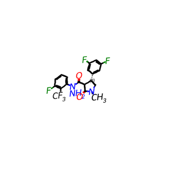 CN1C[C@@H](c2cc(F)cc(F)c2)C(C(=O)N(N)c2cccc(F)c2C(F)(F)F)C1=O